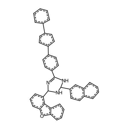 c1ccc(-c2ccc(-c3ccc(C4=NC(c5cccc6oc7ccccc7c56)NC(c5ccc6ccccc6c5)N4)cc3)cc2)cc1